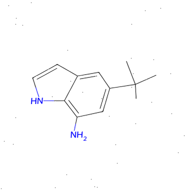 CC(C)(C)c1cc(N)c2[nH]ccc2c1